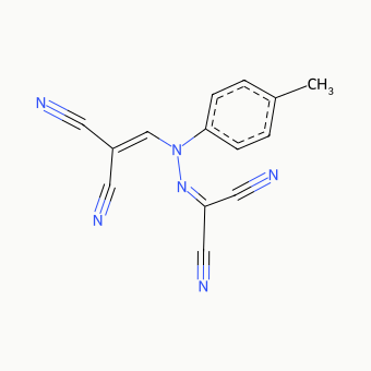 Cc1ccc(N(C=C(C#N)C#N)N=C(C#N)C#N)cc1